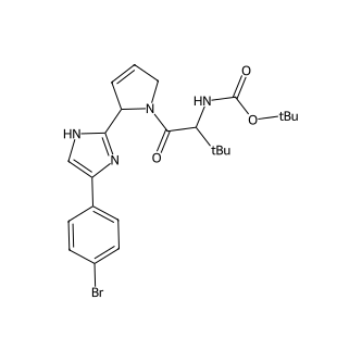 CC(C)(C)OC(=O)NC(C(=O)N1CC=CC1c1nc(-c2ccc(Br)cc2)c[nH]1)C(C)(C)C